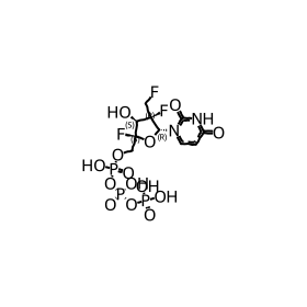 O=c1ccn([C@@H]2O[C@](F)(COP(=O)(O)OP(=O)(O)OP(=O)(O)O)[C@@H](O)[C@]2(F)CF)c(=O)[nH]1